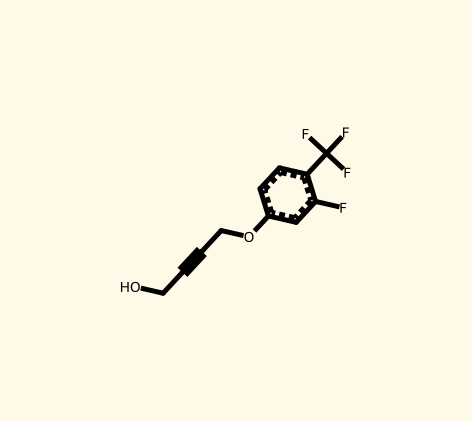 OCC#CCOc1ccc(C(F)(F)F)c(F)c1